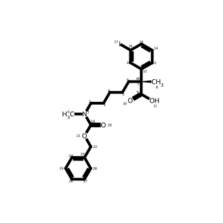 CN(CCCCC[C@@](C)(C(=O)O)c1cccc(I)c1)C(=O)OCc1ccccc1